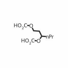 CCCC(CCOC(=O)O)OC(=O)O